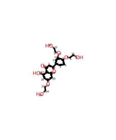 O=c1cc(-c2ccc(OCCO)c(OCCO)c2)oc2cc(OCCO)cc(O)c12